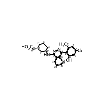 Cc1cc(Cl)cc(O)c1-c1nnc(NC2CCCN(CC(=O)O)C2)c2cccnc12